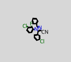 N#Cc1nc(-c2ccccc2)n(-c2cccc(Cl)c2F)c1-c1cccc(Cl)c1